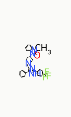 Cn1c(=O)n(C2CCN(Cc3nc(-c4ccc(C(F)(F)F)cc4)[nH]c3-c3ccccc3)CC2)c2ccccc21